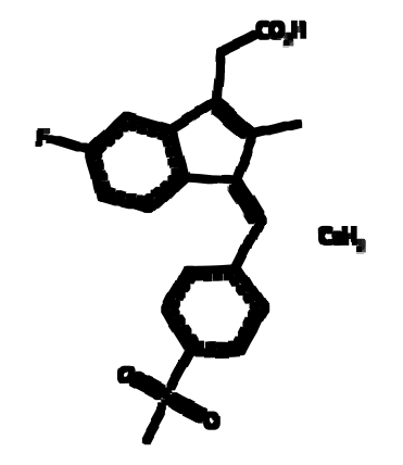 CC1=C(CC(=O)O)c2cc(F)ccc2C1=Cc1ccc(S(C)(=O)=O)cc1.[CaH2]